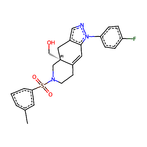 Cc1cccc(S(=O)(=O)N2CCC3=Cc4c(cnn4-c4ccc(F)cc4)C[C@]3(CO)C2)c1